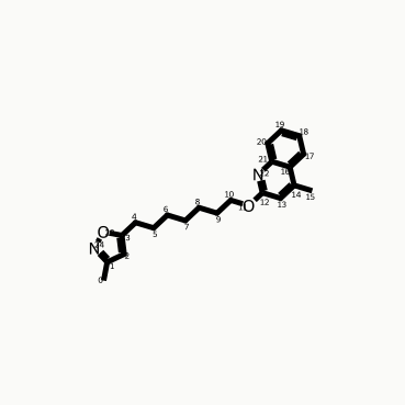 Cc1cc(CCCCCCCOc2cc(C)c3ccccc3n2)on1